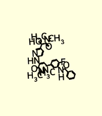 Cc1c(-c2cc(Nc3ccc(C(O)C(=O)N(C)C)cn3)c(=O)n(C)n2)ccc(F)c1NC(=O)c1ccccc1